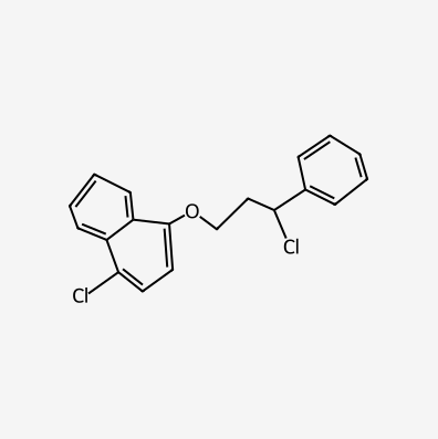 Clc1ccc(OCCC(Cl)c2ccccc2)c2ccccc12